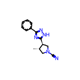 C[C@H]1CN(C#N)C[C@@H]1c1nc(-c2ccccc2)n[nH]1